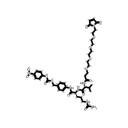 CC(C)[C@H](NC(=O)CCOCCOCCOCCOCCN1C(=O)C=CC1=O)C(=O)N[C@@H](CCCNC(N)=O)C(=O)Nc1ccc(COC(=O)Oc2ccc([N+](=O)[O-])cc2)cc1